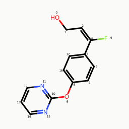 OC/C=C(/F)c1ccc(Oc2ncccn2)cc1